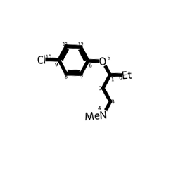 CCC(CCNC)Oc1ccc(Cl)cc1